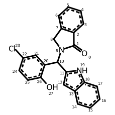 O=C1c2ccccc2CN1C(c1cc2ccccc2[nH]1)c1cc(Cl)ccc1O